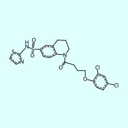 O=C(CCCOc1ccc(Cl)cc1Cl)N1CCCc2cc(S(=O)(=O)Nc3nccs3)ccc21